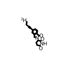 [2H]CCC#Cc1ccc2c(c1)CN(C1CCC(=O)NC1=O)C2=O